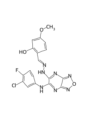 COc1ccc(C=NNc2nc3nonc3nc2Nc2ccc(F)c(Cl)c2)c(O)c1